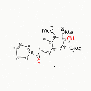 COC1=CC(C=CC(=O)c2ccccc2)=C(C)C(OC)C1(O)OC